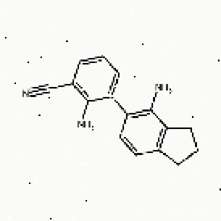 N#Cc1cccc(-c2ccc3c(c2N)CCC3)c1N